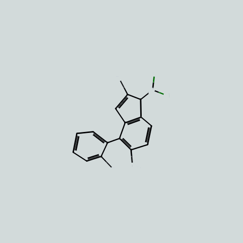 CCc1ccccc1-c1c(C(C)(C)C)ccc2c1C=C(C(C)C)[CH]2[Zr]([Cl])[Cl]